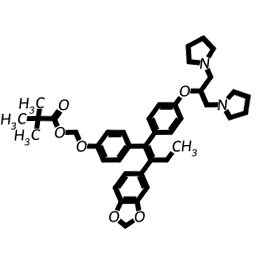 CCC(=C(c1ccc(OCOC(=O)C(C)(C)C)cc1)c1ccc(OC(CN2CCCC2)CN2CCCC2)cc1)c1ccc2c(c1)OCO2